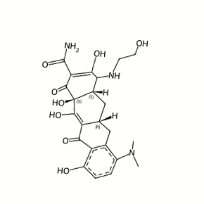 CN(C)c1ccc(O)c2c1C[C@H]1C[C@H]3C(NCCO)C(O)=C(C(N)=O)C(=O)[C@@]3(O)C(O)=C1C2=O